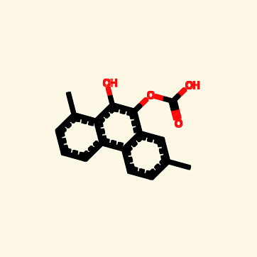 Cc1ccc2c(c1)c(OC(=O)O)c(O)c1c(C)cccc12